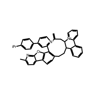 C=C1CC2C(CCc3ccc4c(oc5nc(C)ccc54)c3-c3cc(-c4ccc(C(C)C)cc4)cc[n+]31)c1ccccc1-c1cccc[n+]12